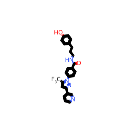 O=C(NCCCc1ccc(O)cc1)c1ccc(-n2nc(-c3cccnc3)cc2C(F)(F)F)cc1